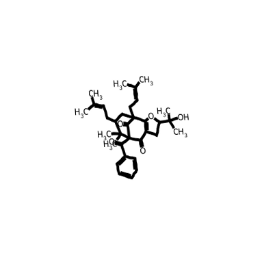 CC(C)=CCC1CC2(CC=C(C)C)C(=O)C(C(=O)c3ccccc3)(C(=O)C3=C2OC(C(C)(C)O)C3)C1(C)C